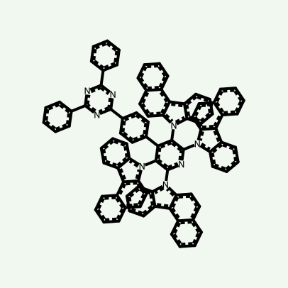 c1ccc(-c2nc(-c3ccccc3)nc(-c3ccc(-c4c(-n5c6ccccc6c6c7ccccc7ccc65)c(-n5c6ccccc6c6c7ccccc7ccc65)nc(-n5c6ccccc6c6c7ccccc7ccc65)c4-n4c5ccccc5c5c6ccccc6ccc54)cc3)n2)cc1